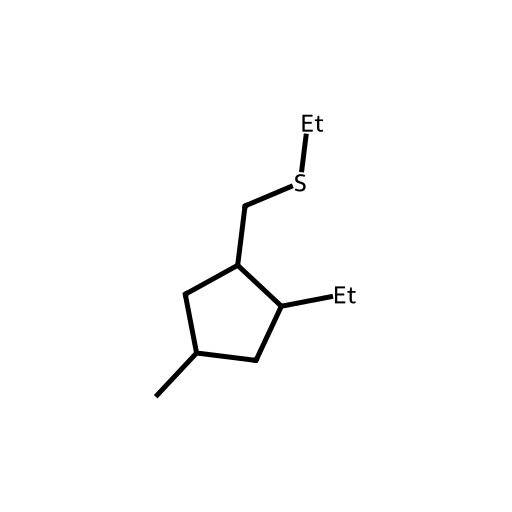 CCSCC1CC(C)CC1CC